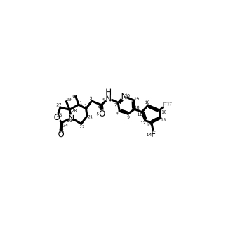 CC1C(CC(=O)Nc2ccc(-c3cc(F)cc(F)c3)cn2)CCN2C(=O)OCC12C